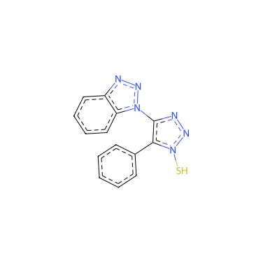 Sn1nnc(-n2nnc3ccccc32)c1-c1ccccc1